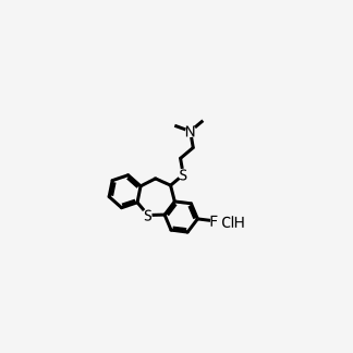 CN(C)CCSC1Cc2ccccc2Sc2ccc(F)cc21.Cl